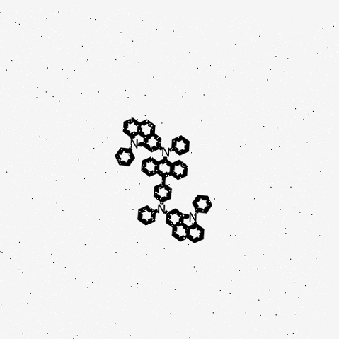 c1ccc(N(c2ccc(-c3c4ccccc4c(N(c4ccccc4)c4cc5ccc6cccc7c6c5c(c4)n7-c4ccccc4)c4ccccc34)cc2)c2cc3ccc4cccc5c4c3c(c2)n5-c2ccccc2)cc1